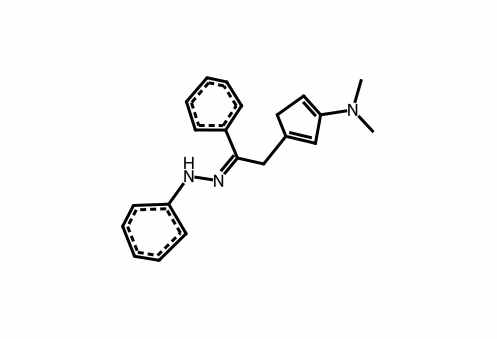 CN(C)C1=CCC(CC(=NNc2ccccc2)c2ccccc2)=C1